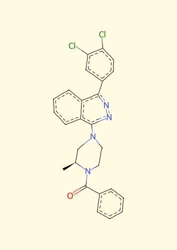 C[C@H]1CN(c2nnc(-c3ccc(Cl)c(Cl)c3)c3ccccc23)CCN1C(=O)c1ccccc1